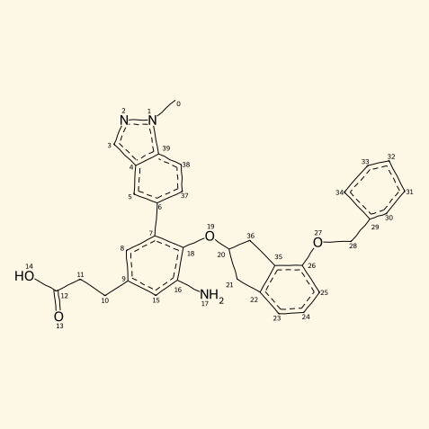 Cn1ncc2cc(-c3cc(CCC(=O)O)cc(N)c3OC3Cc4cccc(OCc5ccccc5)c4C3)ccc21